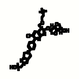 CC(C)(O)Cn1cc2c(n1)CN(c1ccc(-c3nc4nc(O[C@@H]5CO[C@H]6[C@@H]5OC[C@H]6O)n(COCC[Si](C)(C)C)c4cc3Cl)cc1)C2